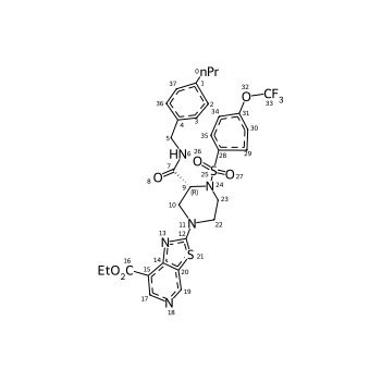 CCCc1ccc(CNC(=O)[C@H]2CN(c3nc4c(C(=O)OCC)cncc4s3)CCN2S(=O)(=O)c2ccc(OC(F)(F)F)cc2)cc1